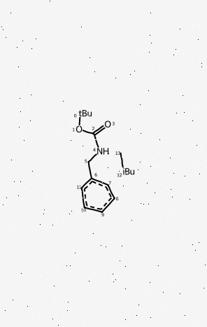 CC(C)(C)OC(=O)NCc1ccccc1.CCC(C)C